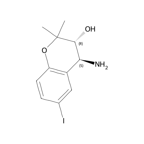 CC1(C)Oc2ccc(I)cc2[C@H](N)[C@H]1O